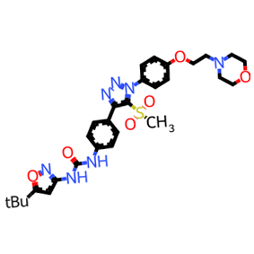 CC(C)(C)c1cc(NC(=O)Nc2ccc(-c3nnn(-c4ccc(OCCN5CCOCC5)cc4)c3S(C)(=O)=O)cc2)no1